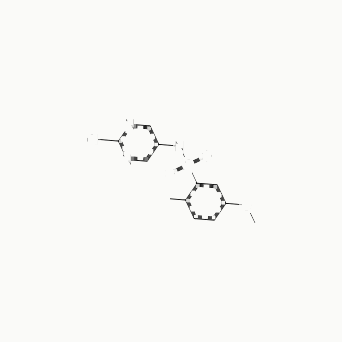 COc1ccc(F)c(S(=O)(=O)Nc2cnc(Cl)nc2)c1